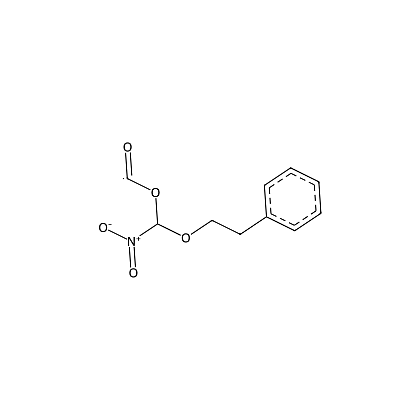 O=[C]OC(OCCc1ccccc1)[N+](=O)[O-]